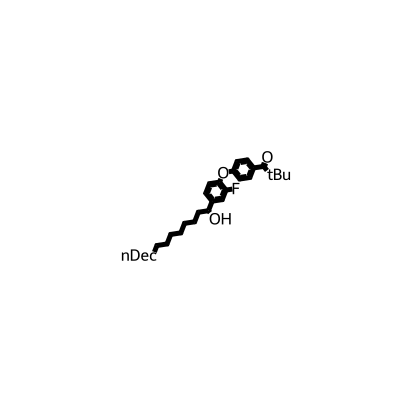 CCCCCCCCCCCCCCCCCC(O)c1ccc(Oc2ccc(C(=O)C(C)(C)C)cc2)c(F)c1